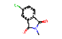 [CH2]N1C(=O)c2ccc(Cl)cc2C1=O